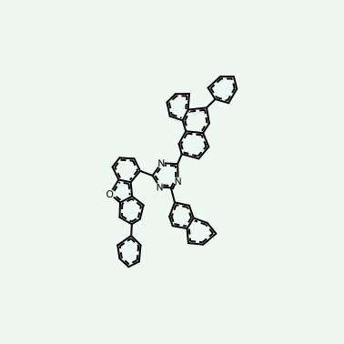 c1ccc(-c2ccc3c(c2)oc2cccc(-c4nc(-c5ccc6ccccc6c5)nc(-c5ccc6cc(-c7ccccc7)c7ccccc7c6c5)n4)c23)cc1